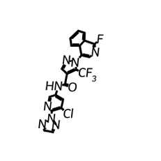 O=C(Nc1cnc(-n2nccn2)c(Cl)c1)c1cnn(-c2cnc(F)c3ccccc23)c1C(F)(F)F